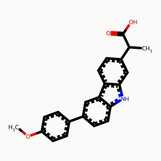 COc1ccc(-c2ccc3[nH]c4cc(C(C)C(=O)O)ccc4c3c2)cc1